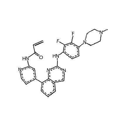 C=CC(=O)Nc1cc(-c2cccc3cnc(Nc4ccc(N5CCN(C)CC5)c(F)c4F)nc23)ccn1